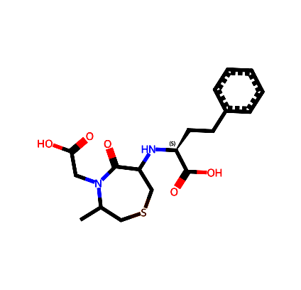 CC1CSCC(N[C@@H](CCc2ccccc2)C(=O)O)C(=O)N1CC(=O)O